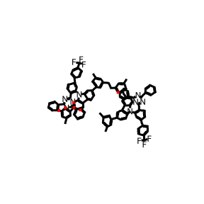 Cc1cc(C)cc(-c2ccc3c(c2)c2cc(-c4cc(C)cc(CCc5cc(C)cc(-c6ccc7c8ccc(-c9cc(C)cc(C)c9)cc8n(-c8cc(-c9ccc(C(F)(F)F)cc9)ccc8-c8nc(-c9ccccc9)nc(-c9ccccc9)n8)c7c6)c5)c4)ccc2n3-c2cc(-c3ccc(C(F)(F)F)cc3)ccc2-c2nc(-c3ccccc3)nc(-c3ccccc3)n2)c1